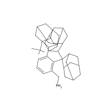 CC(C)(C)C12CC3CC(CC(C3)C1c1cccc(CP)c1C1(C3C4CC5CC(C4)CC3C5)C3CC4CC(C3)CC1C4)C2